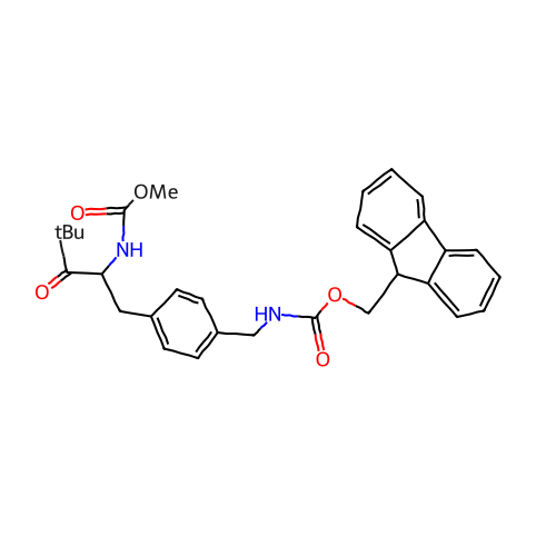 COC(=O)NC(Cc1ccc(CNC(=O)OCC2c3ccccc3-c3ccccc32)cc1)C(=O)C(C)(C)C